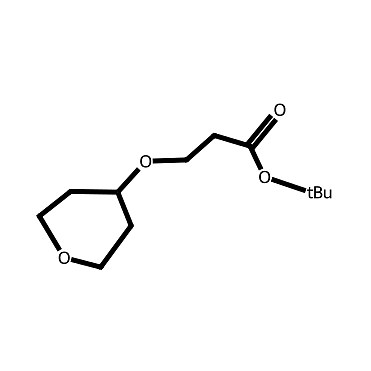 CC(C)(C)OC(=O)CCOC1CCOCC1